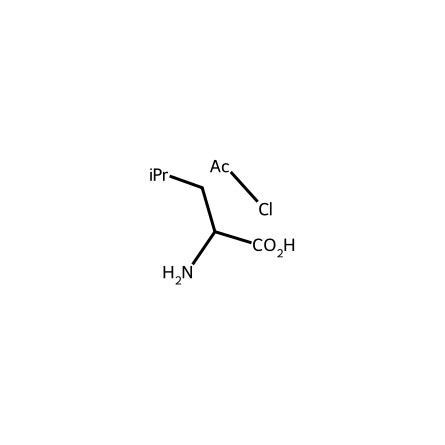 CC(=O)Cl.CC(C)CC(N)C(=O)O